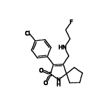 O=S1(=O)NC2(CCCC2)C(CNCCF)=C1c1ccc(Cl)cc1